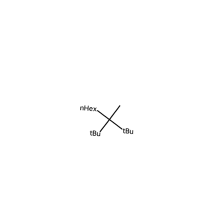 CCCCCCC(C)(C(C)(C)C)C(C)(C)C